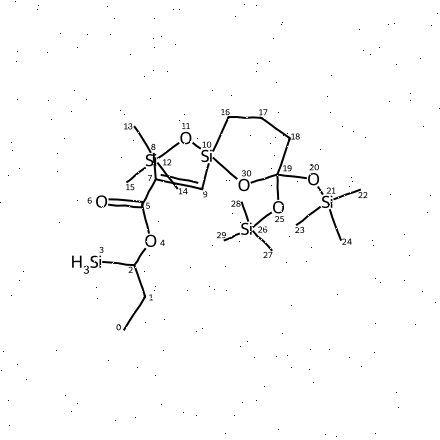 CCC([SiH3])OC(=O)C(C)=C[Si]1(O[Si](C)(C)C)CCCC(O[Si](C)(C)C)(O[Si](C)(C)C)O1